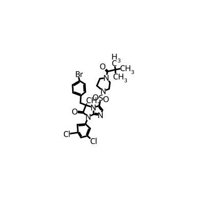 CC(C)(C)C(=O)N1CCN(S(=O)(=O)c2cnc3n2[C@](C)(Cc2ccc(Br)cc2)C(=O)N3c2cc(Cl)cc(Cl)c2)CC1